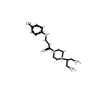 CCC(CC)N1CCN(C(=O)CCOc2ccc(Cl)cc2)CC1